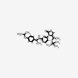 CC(C)Oc1ccc([C@H](C)Nc2nccc(N3C(=O)OCC3[C@@H](C)OC(C)(C)C)n2)cc1